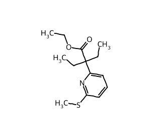 CCOC(=O)C(CC)(CC)c1cccc(SC)n1